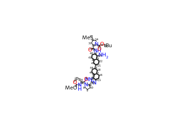 COC(=O)N[C@H](C(=O)N1CCC[C@H]1c1nc2ccc3cc(-c4ccc5c(N)c(NC(=O)C6CC(SC)CN6C(=O)OC(C)(C)C)ccc5c4)ccc3c2[nH]1)C(C)C